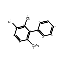 COc1ccc(C#N)c(C#N)c1-c1ccccc1